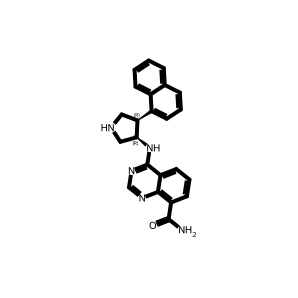 NC(=O)c1cccc2c(N[C@H]3CNC[C@H]3c3cccc4ccccc34)ncnc12